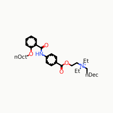 CCCCCCCCCCC[N+](CC)(CC)CCOC(=O)c1ccc(NC(=O)c2ccccc2OCCCCCCCC)cc1